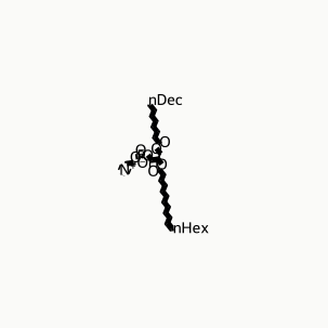 CCCCCC/C=C\CCCCCCCCCC(=O)O[C@H](COC(=O)CCCCCCCCCCCCCCCCC)COP(=O)(O)OCC[N+](C)(C)C